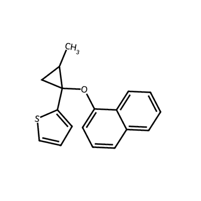 CC1CC1(Oc1cccc2ccccc12)c1cccs1